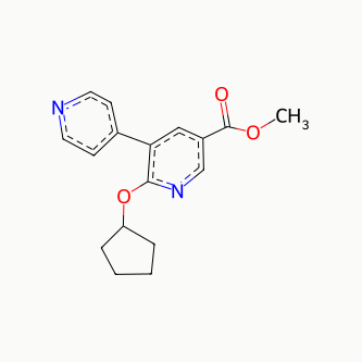 COC(=O)c1cnc(OC2CCCC2)c(-c2ccncc2)c1